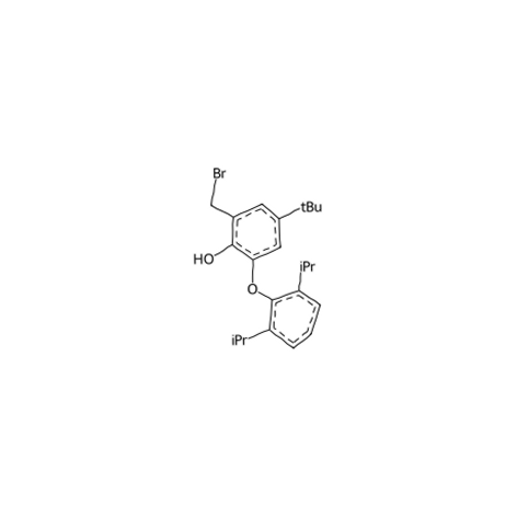 CC(C)c1cccc(C(C)C)c1Oc1cc(C(C)(C)C)cc(CBr)c1O